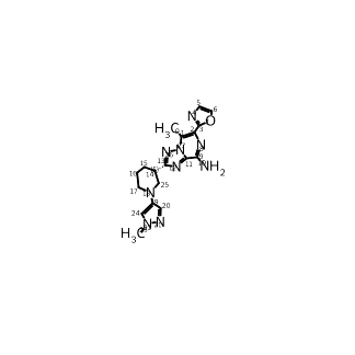 Cc1c(-c2ncco2)nc(N)c2nc([C@H]3CCCN(c4cnn(C)c4)C3)nn12